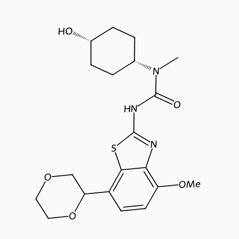 COc1ccc(C2COCCO2)c2sc(NC(=O)N(C)[C@H]3CC[C@@H](O)CC3)nc12